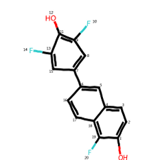 Oc1ccc2cc(-c3cc(F)c(O)c(F)c3)ccc2c1F